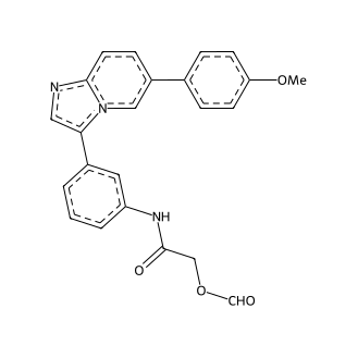 COc1ccc(-c2ccc3ncc(-c4cccc(NC(=O)COC=O)c4)n3c2)cc1